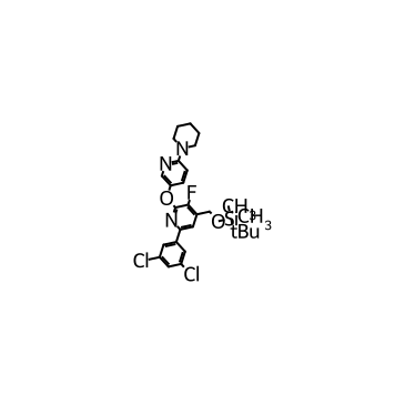 CC(C)(C)[Si](C)(C)OCc1cc(-c2cc(Cl)cc(Cl)c2)nc(Oc2ccc(N3CCCCC3)nc2)c1F